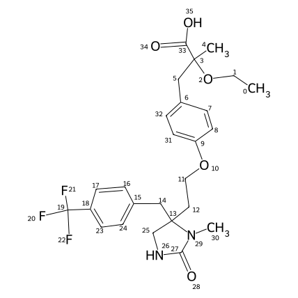 CCOC(C)(Cc1ccc(OCCC2(Cc3ccc(C(F)(F)F)cc3)CNC(=O)N2C)cc1)C(=O)O